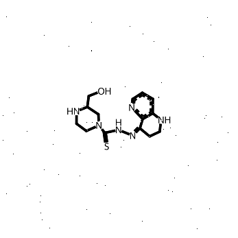 OCC1CN(C(=S)N/N=C2/CCNc3cccnc32)CCN1